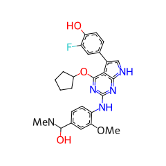 CNC(O)c1ccc(Nc2nc(OC3CCCC3)c3c(-c4ccc(O)c(F)c4)c[nH]c3n2)c(OC)c1